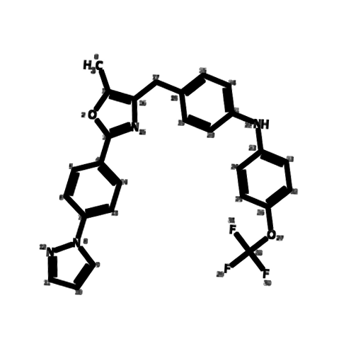 Cc1oc(-c2ccc(-n3cccn3)cc2)nc1Cc1ccc(Nc2ccc(OC(F)(F)F)cc2)cc1